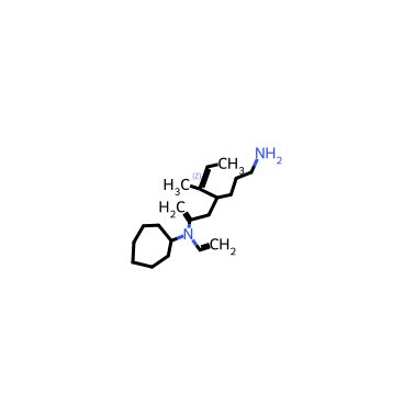 C=CN(C(=C)CC(CCCN)/C(C)=C\C)C1CCCCCC1